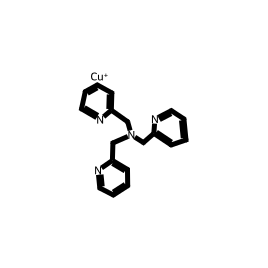 [Cu+].c1ccc(CN(Cc2ccccn2)Cc2ccccn2)nc1